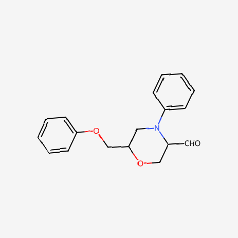 O=CC1COC(COc2ccccc2)CN1c1ccccc1